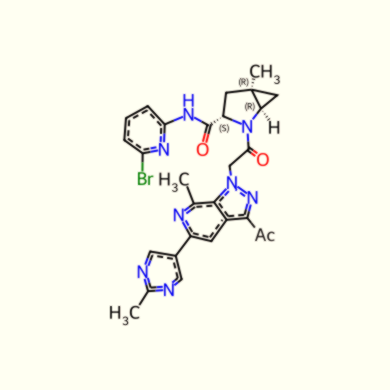 CC(=O)c1nn(CC(=O)N2[C@H](C(=O)Nc3cccc(Br)n3)C[C@@]3(C)C[C@@H]23)c2c(C)nc(-c3cnc(C)nc3)cc12